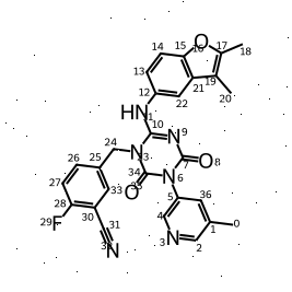 Cc1cncc(-n2c(=O)nc(Nc3ccc4oc(C)c(C)c4c3)n(Cc3ccc(F)c(C#N)c3)c2=O)c1